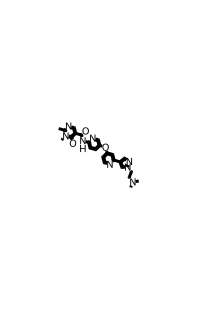 Cc1ncc(C(=O)Nc2ccc(Oc3ccnc(-c4cnn(CCN(C)C)c4)c3)cn2)c(=O)n1C